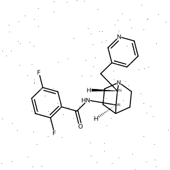 O=C(N[C@@H]1C2CCN(CC2)[C@H]1Cc1cccnc1)c1cc(F)ccc1F